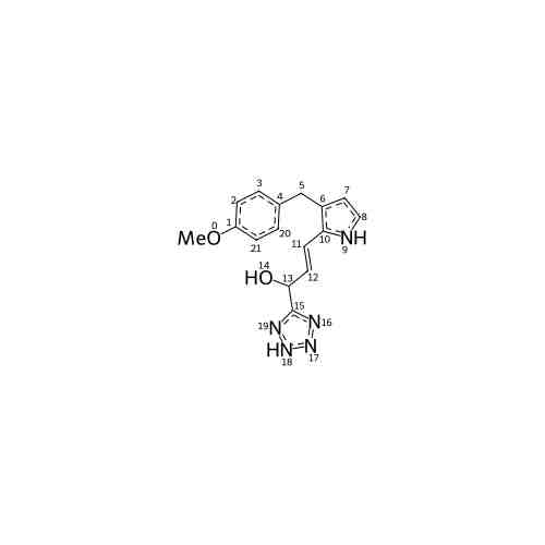 COc1ccc(Cc2cc[nH]c2C=CC(O)c2nn[nH]n2)cc1